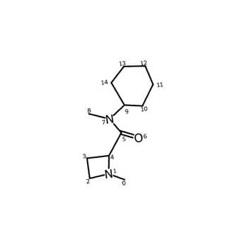 CN1CCC1C(=O)N(C)C1CCCCC1